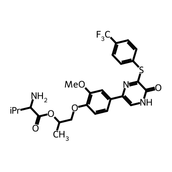 COc1cc(-c2c[nH]c(=O)c(Sc3ccc(C(F)(F)F)cc3)n2)ccc1OCC(C)OC(=O)C(N)C(C)C